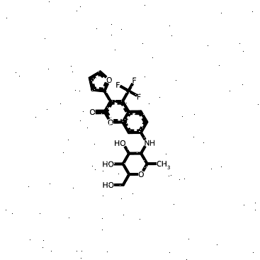 CC1OC(CO)C(O)C(O)C1Nc1ccc2c(C(F)(F)F)c(-c3ccco3)c(=O)oc2c1